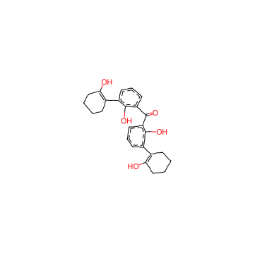 O=C(c1cccc(C2=C(O)CCCC2)c1O)c1cccc(C2=C(O)CCCC2)c1O